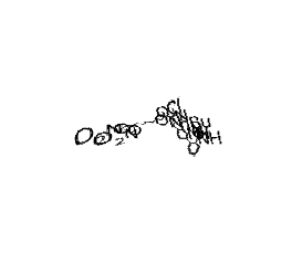 CCCCc1nc(Cl)c(C(=O)OCCCCCC(CO[N+](=O)[O-])O[N+](=O)[O-])n1Cc1ccc(-c2ccccc2-c2nnn[nH]2)cc1